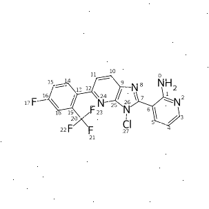 Nc1ncccc1-c1nc2ccc(-c3ccc(F)cc3C(F)(F)F)nc2n1Cl